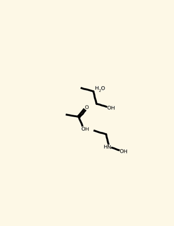 CC(=O)O.CCCO.CCNO.O